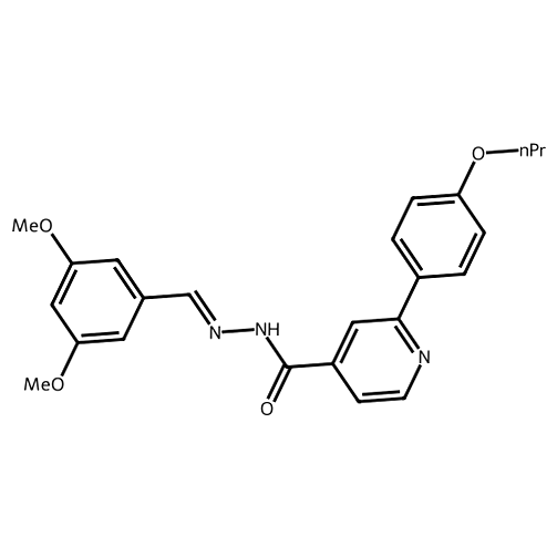 CCCOc1ccc(-c2cc(C(=O)NN=Cc3cc(OC)cc(OC)c3)ccn2)cc1